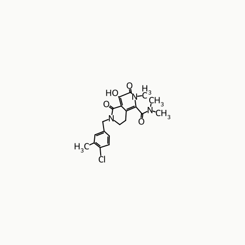 Cc1cc(CN2CCc3c(c(O)c(=O)n(C)c3C(=O)N(C)C)C2=O)ccc1Cl